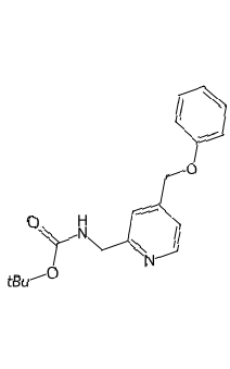 CC(C)(C)OC(=O)NCc1cc(COc2ccccc2)ccn1